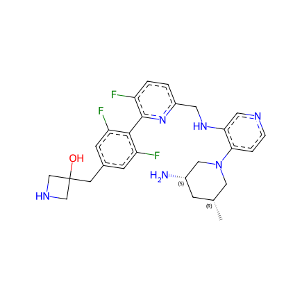 C[C@@H]1C[C@H](N)CN(c2ccncc2NCc2ccc(F)c(-c3c(F)cc(CC4(O)CNC4)cc3F)n2)C1